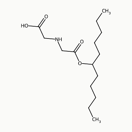 CCCCCC(CCCCC)OC(=O)CNCC(=O)O